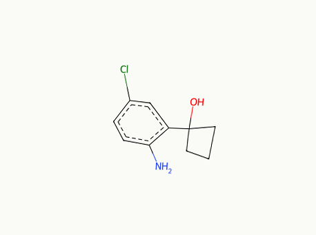 Nc1ccc(Cl)cc1C1(O)CCC1